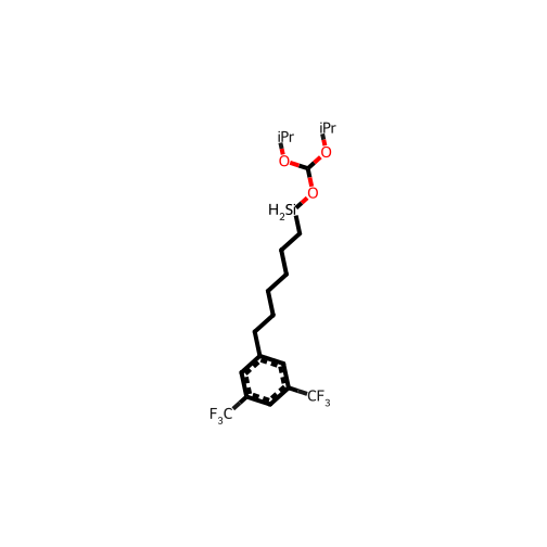 CC(C)OC(O[SiH2]CCCCCCc1cc(C(F)(F)F)cc(C(F)(F)F)c1)OC(C)C